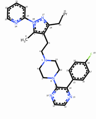 Cc1c(CCN2CCN(c3nccnc3-c3ccc(F)cc3)CC2)c(CC(C)C)nn1-c1ccccn1